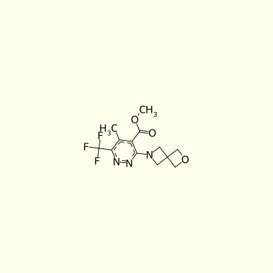 COC(=O)c1c(N2CC3(COC3)C2)nnc(C(F)(F)F)c1C